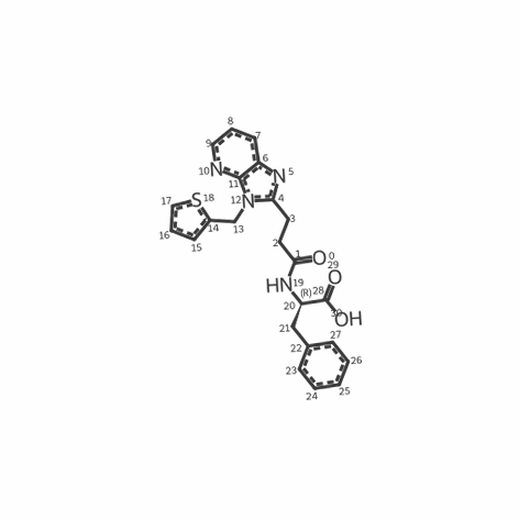 O=C(CCc1nc2cccnc2n1Cc1cccs1)N[C@H](Cc1ccccc1)C(=O)O